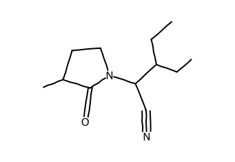 CCC(CC)C(C#N)N1CCC(C)C1=O